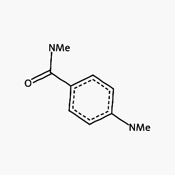 CNC(=O)c1ccc(NC)cc1